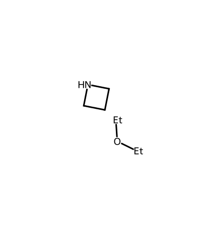 C1CNC1.CCOCC